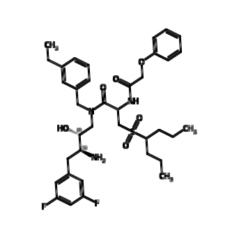 CCCC(CCC)S(=O)(=O)CC(NC(=O)COc1ccccc1)C(=O)N(Cc1cccc(CC)c1)C[C@@H](O)[C@@H](N)Cc1cc(F)cc(F)c1